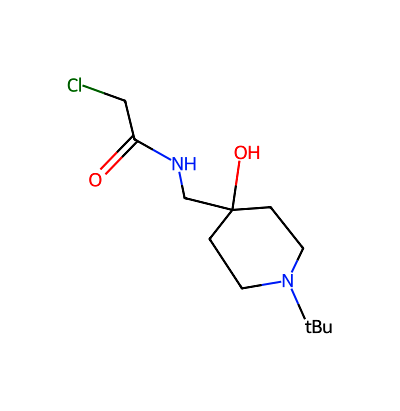 CC(C)(C)N1CCC(O)(CNC(=O)CCl)CC1